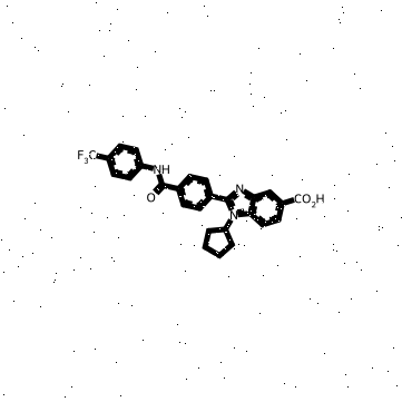 O=C(O)c1ccc2c(c1)nc(-c1ccc(C(=O)Nc3ccc(C(F)(F)F)cc3)cc1)n2C1CCCC1